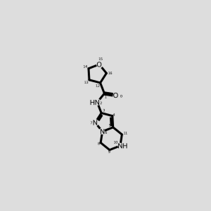 O=C(Nc1cc2n(n1)CCNC2)C1CCOC1